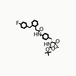 COC(=O)[C@@H](Cc1ccc(NC(=O)Cc2ccccc2Cc2ccc(F)cc2)cc1)NC(=O)OC(C)(C)C